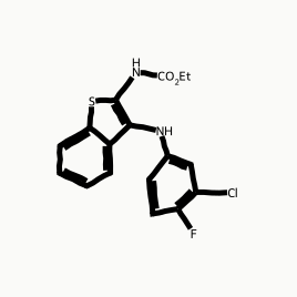 CCOC(=O)Nc1sc2ccccc2c1Nc1ccc(F)c(Cl)c1